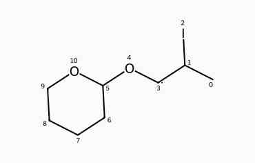 CC(I)[CH]OC1CCCCO1